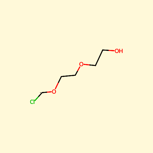 OCCOCCO[CH]Cl